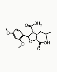 BC(=O)N1C(c2ccc(OC)cc2OC)O[C@H](C(=O)O)[C@@H]1CC(C)C